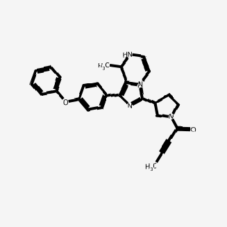 CC#CC(=O)N1CCC(c2nc(-c3ccc(Oc4ccccc4)cc3)c3n2C=CNC3C)C1